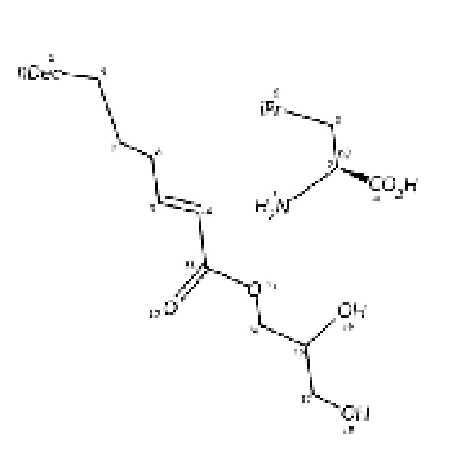 CC(C)C[C@H](N)C(=O)O.CCCCCCCCCCCCCC=CC(=O)OCC(O)CO